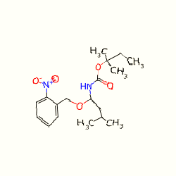 CCC(C)(C)OC(=O)NC(CC(C)C)OCc1ccccc1[N+](=O)[O-]